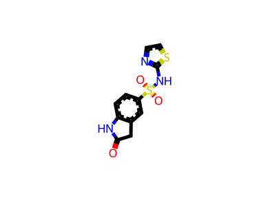 O=C1Cc2cc(S(=O)(=O)Nc3nccs3)ccc2N1